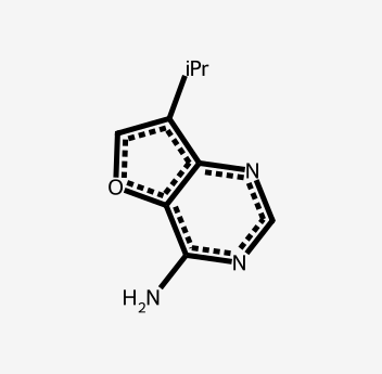 CC(C)c1coc2c(N)ncnc12